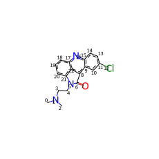 CN(C)CCN1C(=O)c2c3cc(Cl)ccc3nc3cccc1c23